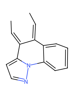 C/C=c1\c(=C/C)c2ccnn2c2ccccc12